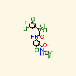 O=C(NC1CC(F)(F)C1)c1cc(NC(=O)C2C(c3cc(Cl)c(F)c(Cl)c3)C2(Cl)Cl)ccc1Cl